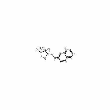 CC1(O)C(O)COC1COc1ccc2cccnc2c1